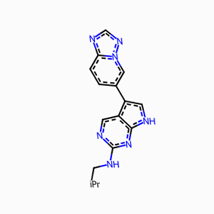 CC(C)CNc1ncc2c(-c3ccc4ncnn4c3)c[nH]c2n1